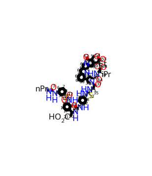 CCCNC(=O)Nc1cccc(S(=O)(=O)Nc2cccc(C(CC(=O)O)NC(=O)Nc3ccc(NC(=S)N[C@@H](C)C(=O)N4CCC[C@H]4C(=O)N[C@H](C(=O)O[C@]4(CC)C(=O)OCc5c4cc4n(c5=O)Cc5cc6ccccc6nc5-4)C(C)C)cc3)c2)c1